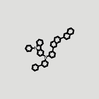 c1ccc(-c2cccc(N(c3cccc(-c4ccc5ccc(-c6ccc7ccccc7c6)cc5c4)c3)c3ccc4c(c3)c3ccccc3n4-c3ccccc3)c2)cc1